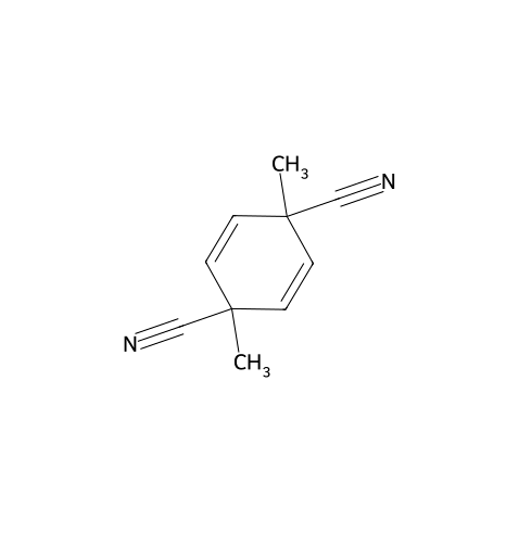 CC1(C#N)C=CC(C)(C#N)C=C1